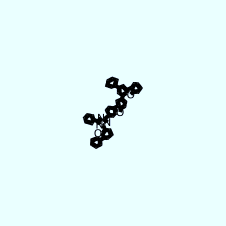 c1ccc(-c2cc(-c3ccc4oc5cc(-c6nc(-c7ccccc7)nc(-c7cccc8c7oc7ccccc78)n6)ccc5c4c3)c3oc4ccccc4c3c2)cc1